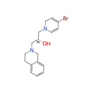 O[C@@H](CN1C=CC(Br)=CC1)CN1CCc2ccccc2C1